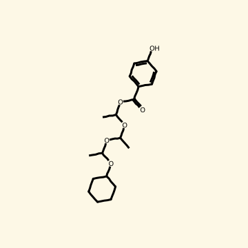 CC(OC(=O)c1ccc(O)cc1)OC(C)OC(C)OC1CCCCC1